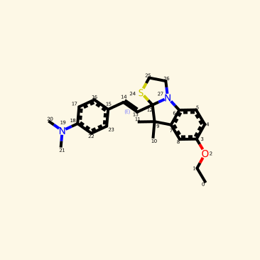 CCOc1ccc2c(c1)C(C)(C)C1(/C=C/c3ccc(N(C)C)cc3)SCCN21